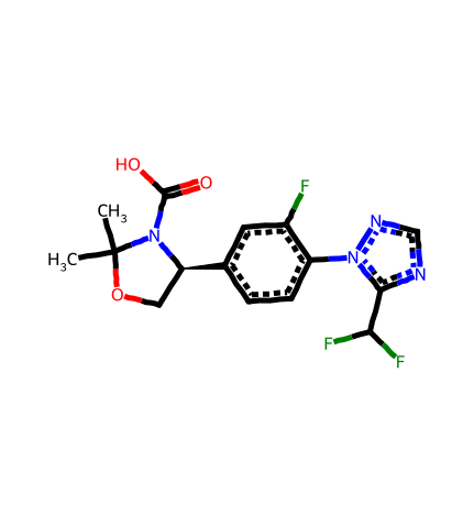 CC1(C)OC[C@H](c2ccc(-n3ncnc3C(F)F)c(F)c2)N1C(=O)O